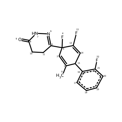 CC1=CC(F)(C2=NNC(=O)CC2)C(F)=CC1c1ccccc1F